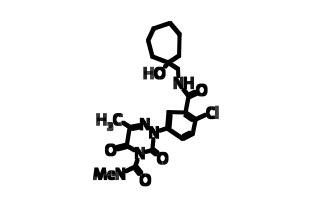 CNC(=O)n1c(=O)c(C)nn(-c2ccc(Cl)c(C(=O)NCC3(O)CCCCCC3)c2)c1=O